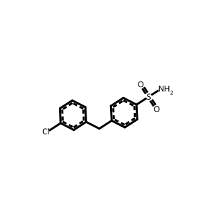 NS(=O)(=O)c1ccc(Cc2cccc(Cl)c2)cc1